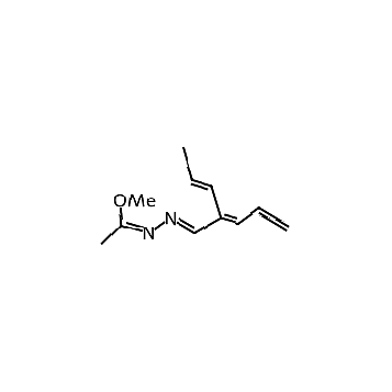 C=C/C=C(C=CC)/C=N/N=C(/C)OC